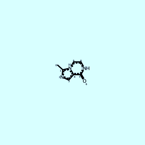 Cc1ncc2c(=O)[nH]ccn12